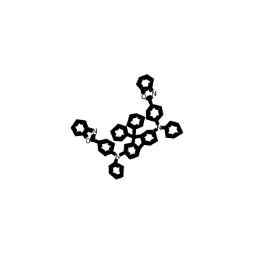 c1ccc(N(c2ccc(-c3nc4ccccc4o3)cc2)c2ccc3c(c2)C(c2ccccc2)(c2ccccc2)c2cc(N(c4ccccc4)c4ccc(-c5nc6ccccc6o5)cc4)ccc2-3)cc1